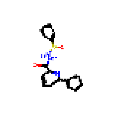 O=C(NN[S+]([O-])c1ccccc1)c1cccc(-c2ccccc2)n1